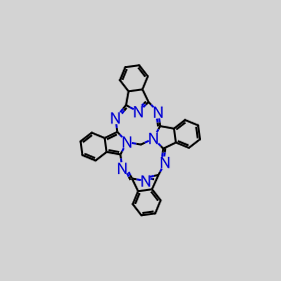 C1=CC2C3=NC(=N\c4c5ccccc5c5n4Cn4/c(c6ccccc6/c4=N/3)=N\C3=NC(=N\5)/c4ccccc43)/C2C=C1